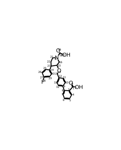 O=C(O)c1ccccc1-c1ccc(COC2CN(C(=O)O)CCC2c2ccc(F)cc2)cc1